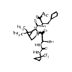 CC(=O)C(=O)C(CC1CCC1)NC(=O)[C@@H]1C2C(CN1C(=O)C(NC(=O)NC1(C(F)(F)F)CC1)C(C)(C)C)C2(C)C